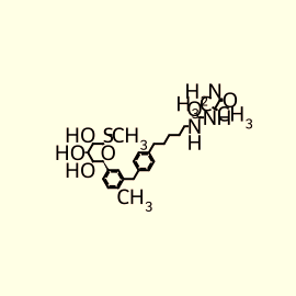 CS[C@H]1O[C@@H](c2ccc(C)c(Cc3ccc(CCCCCNC(=O)NC(C)(C)C(N)=O)cc3)c2)[C@H](O)[C@@H](O)[C@@H]1O